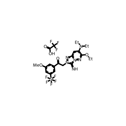 CCOc1nn2c(=N)n(CC(=O)c3cc(OC)cc(S(F)(F)(F)(F)F)c3)nc2cc1N(CC)CC.O=C(O)C(F)(F)F